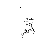 CO.[O-2].[O-2].[Zr+4]